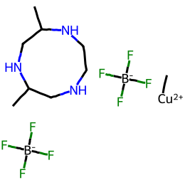 CC1CNCCNC(C)CN1.F[B-](F)(F)F.F[B-](F)(F)F.[CH3][Cu+2]